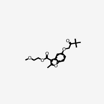 COCCOC(=O)c1c(C)oc2ccc(OCC(=O)C(C)(C)C)cc12